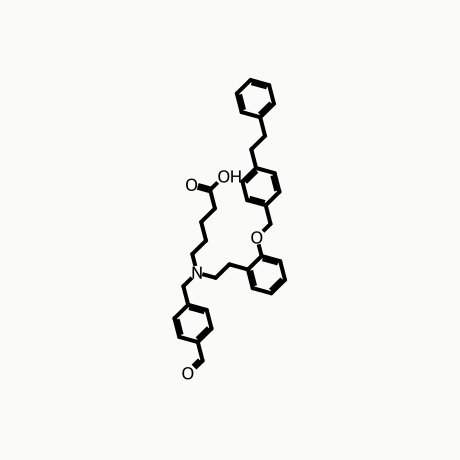 O=Cc1ccc(CN(CCCCC(=O)O)CCc2ccccc2OCc2ccc(CCc3ccccc3)cc2)cc1